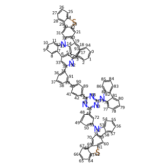 c1ccc(-c2cc(-c3ccccc3-n3c4ccccc4c4cc5sc6ccccc6c5cc43)cc(-c3cccc(-c4ccc(-c5nc(-c6cccc(-n7c8ccccc8c8cc9sc%10ccccc%10c9cc87)c6)nc(-n6c7ccccc7c7ccccc76)n5)cc4)c3)n2)cc1